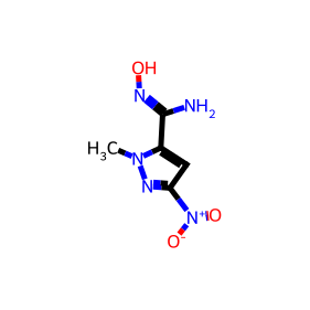 Cn1nc([N+](=O)[O-])cc1C(N)=NO